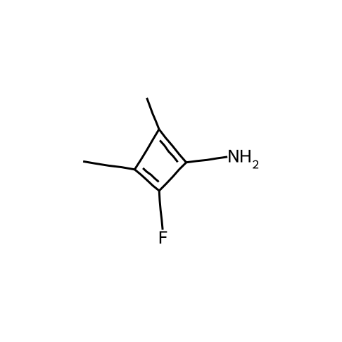 CC1=C(N)C(F)=C1C